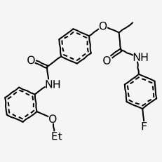 CCOc1ccccc1NC(=O)c1ccc(OC(C)C(=O)Nc2ccc(F)cc2)cc1